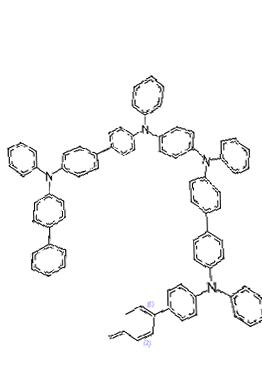 C=C/C=C\C(=C/C)c1ccc(N(c2ccccc2)c2ccc(-c3ccc(N(c4ccccc4)c4ccc(N(c5ccccc5)c5ccc(-c6ccc(N(c7ccccc7)c7ccc(-c8ccccc8)cc7)cc6)cc5)cc4)cc3)cc2)cc1